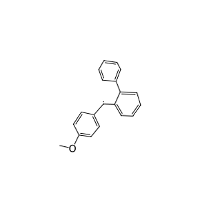 COc1ccc([CH]c2ccccc2-c2ccccc2)cc1